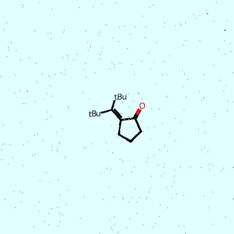 CC(C)(C)C(=C1CCCC1=O)C(C)(C)C